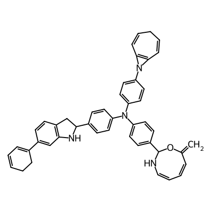 C=C1/C=C\C=C/NC(c2ccc(N(c3ccc(C4Cc5ccc(C6=CC=CCC6)cc5N4)cc3)c3ccc(N4C5=C4C=CCC=C5)cc3)cc2)O1